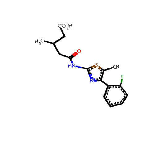 CC(CC(=O)O)CC(=O)Nc1nc(-c2ccccc2F)c(C#N)s1